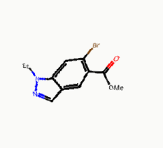 CCn1ncc2cc(C(=O)OC)c(Br)cc21